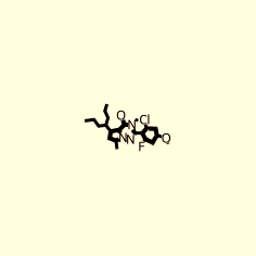 CCCC(CCC)c1cc(C)n2nc(-c3c(F)cc(OC)cc3Cl)n(C)c(=O)c12